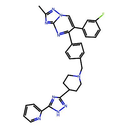 Cc1nc2nc(-c3ccc(CN4CCC(c5n[nH]c(-c6ccccn6)n5)CC4)cc3)c(-c3cccc(F)c3)cn2n1